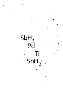 [Pd].[SbH3].[SnH2].[Ti]